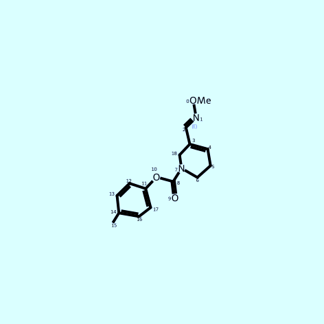 CO/N=C/C1=CCCN(C(=O)Oc2ccc(C)cc2)C1